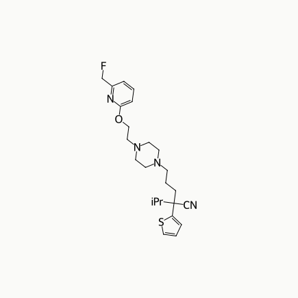 CC(C)C(C#N)(CCCN1CCN(CCOc2cccc(CF)n2)CC1)c1cccs1